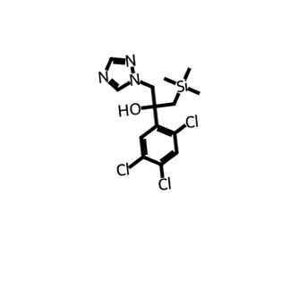 C[Si](C)(C)CC(O)(Cn1cncn1)c1cc(Cl)c(Cl)cc1Cl